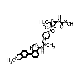 COC(=O)Nc1nc(C)c(S(=O)(=O)N2CCN(C[C@H](C)Nc3ncnc4c(-c5ccc6c(c5)CN(C)C6)cccc34)CC2)s1